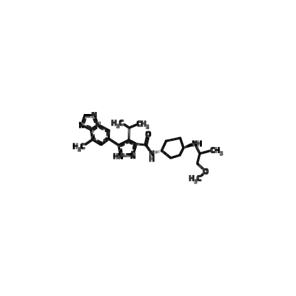 COCC(C)N[C@H]1CC[C@H](NC(=O)c2n[nH]c(-c3cc(C)c4ncnn4c3)c2C(C)C)CC1